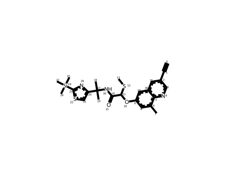 C#Cc1cnc2c(C)cc(OC(SC)C(=O)NC(C)(C)c3csc([Si](C)(C)C)n3)cc2c1